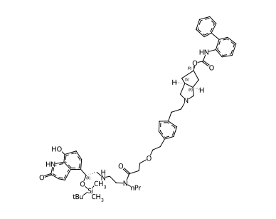 CCCN(CCNC[C@H](O[Si](C)(C)C(C)(C)C)c1ccc(O)c2[nH]c(=O)ccc12)C(=O)CCOCCc1ccc(CCN2C[C@H]3C[C@@H](OC(=O)Nc4ccccc4-c4ccccc4)C[C@H]3C2)cc1